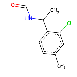 Cc1ccc(C(C)NC=O)c(Cl)c1